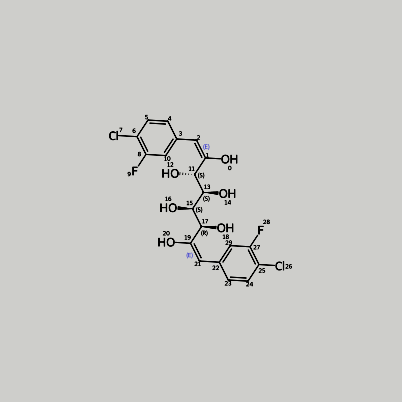 O/C(=C/c1ccc(Cl)c(F)c1)[C@@H](O)[C@@H](O)[C@H](O)[C@@H](O)/C(O)=C\c1ccc(Cl)c(F)c1